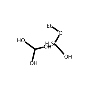 CCO[SiH2]O.OC(O)O